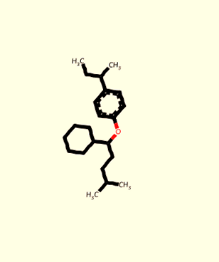 CCC(C)c1ccc(OC(CCC(C)C)C2CCCCC2)cc1